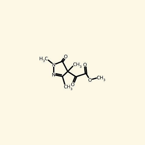 COC(=O)C(=O)C1(C)C(=O)N(C)N=C1C